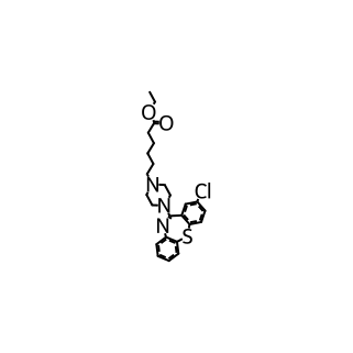 CCOC(=O)CCCCCN1CCN(C2=Nc3ccccc3Sc3ccc(Cl)cc32)CC1